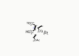 C=CC(=O)OCC.C=COC(C)=O.O=C(O)/C=C\C(=O)O